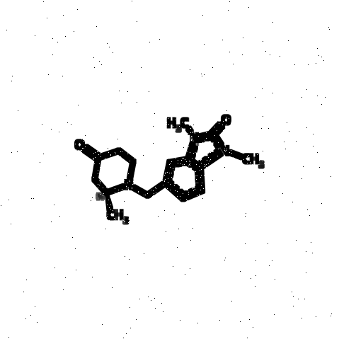 C[C@H]1CC(=O)CCN1Cc1ccc2c(c1)n(C)c(=O)n2C